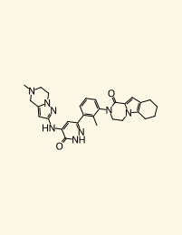 Cc1c(-c2cc(Nc3cc4n(n3)CCN(C)C4)c(=O)[nH]n2)cccc1N1CCn2c(cc3c2CCCC3)C1=O